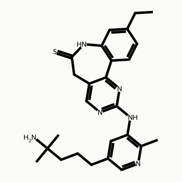 CCc1ccc2c(c1)NC(=S)Cc1cnc(Nc3cc(CCCC(C)(C)N)cnc3C)nc1-2